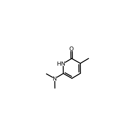 Cc1ccc(N(C)C)[nH]c1=O